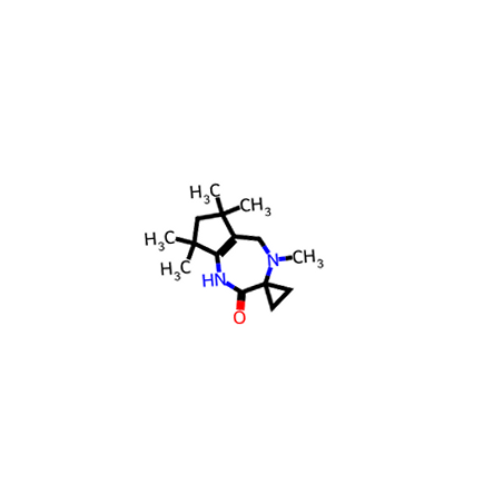 CN1CC2=C(NC(=O)C13CC3)C(C)(C)CC2(C)C